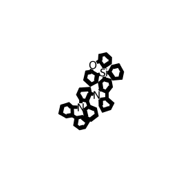 c1ccc(-c2ccccc2-n2c3ccccc3c3c(-n4c5ccccc5c5ccc([Si]6(c7ccccc7)c7ccccc7Oc7ccccc76)cc54)cccc32)cc1